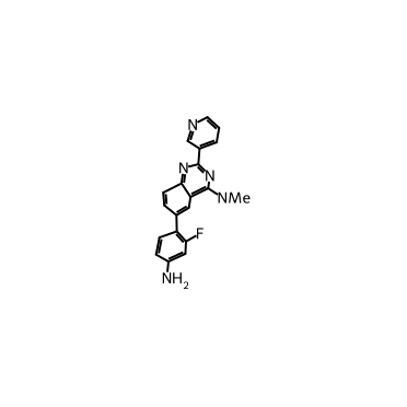 CNc1nc(-c2cccnc2)nc2ccc(-c3ccc(N)cc3F)cc12